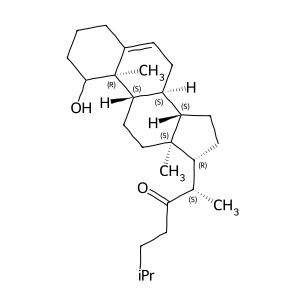 CC(C)CCC(=O)[C@@H](C)[C@H]1CC[C@H]2[C@@H]3CC=C4CCCC(O)[C@]4(C)[C@H]3CC[C@]12C